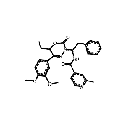 CCC1OC(=O)N(C(Cc2ccccc2)NC(=O)c2ccnc(C)c2)N=C1c1ccc(OC)c(OC)c1